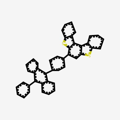 c1ccc(-c2c3ccccc3c(-c3ccc(-c4cc5sc6ccccc6c5c5c4sc4ccccc45)cc3)c3ccccc23)cc1